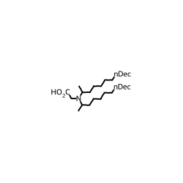 CCCCCCCCCCCCCCCC(C)N(CC(=O)O)C(C)CCCCCCCCCCCCCCC